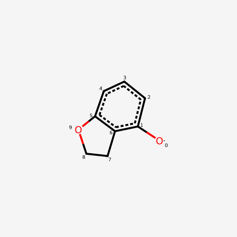 [O]c1cccc2c1CCO2